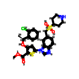 COC(=O)c1sc(-n2cnc3ccc(CS(=O)(=O)C4CCNCC4)cc32)cc1O[C@H](C)c1ccccc1Cl